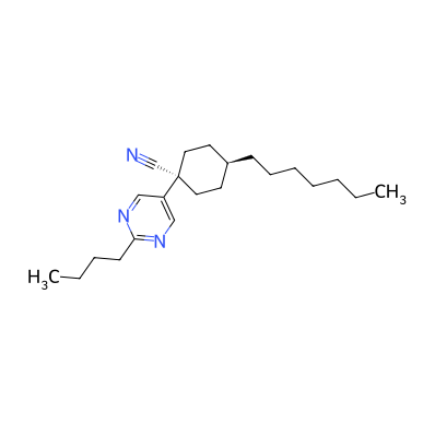 CCCCCCC[C@H]1CC[C@@](C#N)(c2cnc(CCCC)nc2)CC1